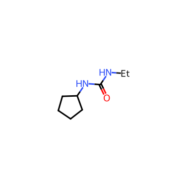 [CH2]CNC(=O)NC1CCCC1